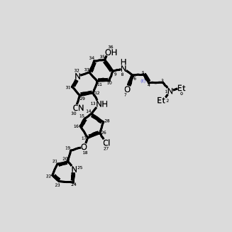 CCN(CC)C/C=C/C(=O)Nc1cc2c(Nc3ccc(OCc4ccccn4)c(Cl)c3)c(C#N)cnc2cc1O